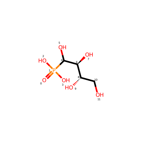 O=P(O)(O)C(O)[C@@H](O)[C@@H](O)CO